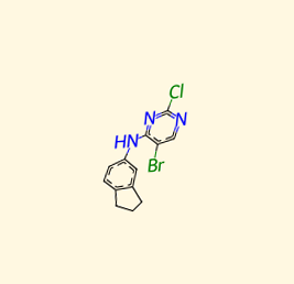 Clc1ncc(Br)c(Nc2ccc3c(c2)CCC3)n1